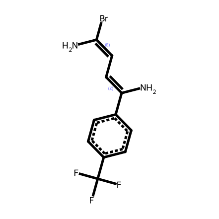 N/C(=C\C=C(/N)Br)c1ccc(C(F)(F)F)cc1